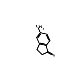 Cc1ccc2c(c1)CCC2=S